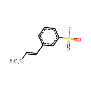 CCOC(=O)C=Cc1cccc(S(=O)(=O)Cl)c1